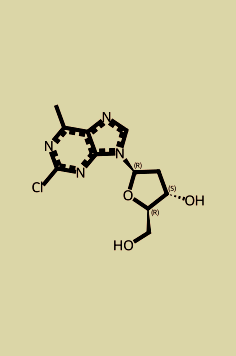 Cc1nc(Cl)nc2c1ncn2[C@H]1C[C@H](O)[C@@H](CO)O1